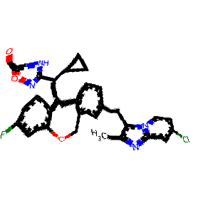 Cc1nc2cc(Cl)ccn2c1Cc1ccc2c(c1)COc1cc(F)ccc1/C2=C(\c1noc(=O)[nH]1)C1CC1